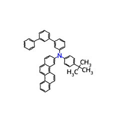 CC(C)(C)c1ccc(N(c2cccc(-c3cccc(-c4ccccc4)c3)c2)c2ccc3ccc4c5ccccc5ccc4c3c2)cc1